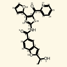 CC(O)c1cc2cc(C(=O)Nc3nc(-c4ccco4)c(C(=O)c4ccccn4)s3)ccc2o1